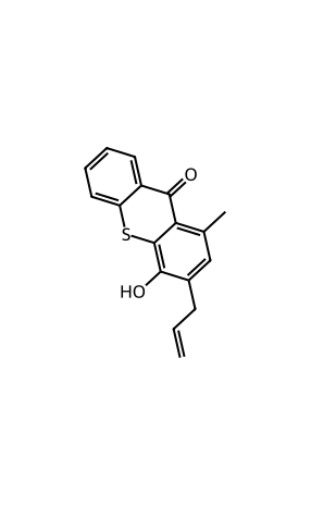 C=CCc1cc(C)c2c(=O)c3ccccc3sc2c1O